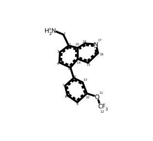 NCc1ccc(-c2cccc(OC(F)(F)F)c2)c2ccncc12